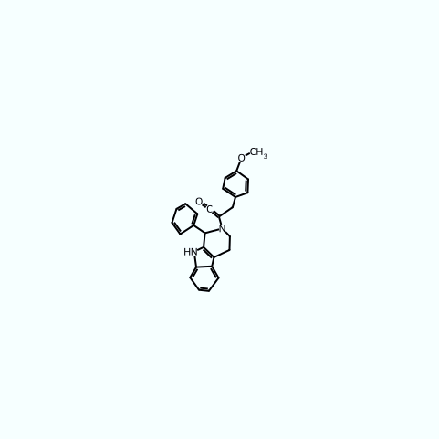 COc1ccc(CC(=C=O)N2CCc3c([nH]c4ccccc34)C2c2ccccc2)cc1